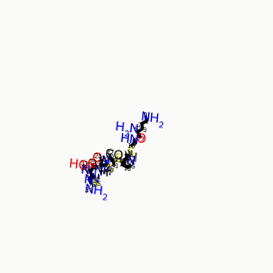 NCCC[C@H](N)C(=O)NCCSCc1ncccc1SC1=C(C(=O)O)N2C(=O)[C@@H](NC(=O)/C(=N\O)c3nsc(N)n3)[C@@H]2SC1